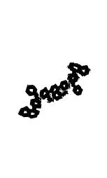 C[Si]1(C)c2cc(N(c3ccccc3)c3ccc(-c4cccc5ccccc45)cc3)ccc2-c2ccc3c4c(ccc1c24)[Si](C)(C)c1cc(N(c2ccccc2)c2ccc(-c4cccc5ccccc45)cc2)ccc1-3